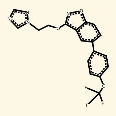 FC(F)(F)Oc1ccc(-c2ccc3onc(OCCn4cncn4)c3c2)cc1